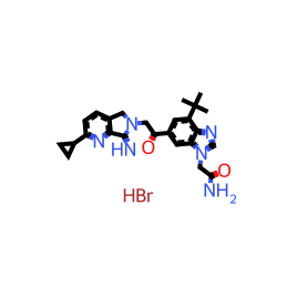 Br.CC(C)(C)c1cc(C(=O)CN2Cc3ccc(C4CC4)nc3C2=N)cc2c1ncn2CC(N)=O